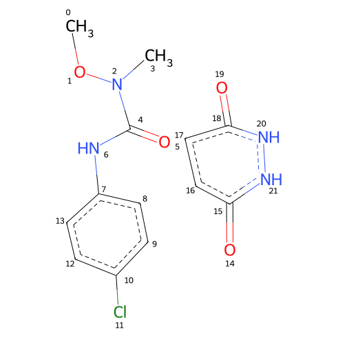 CON(C)C(=O)Nc1ccc(Cl)cc1.O=c1ccc(=O)[nH][nH]1